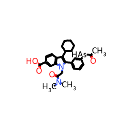 CC(=O)[AsH]c1cccc(-c2c(C3CCCCC3)c3ccc(C(=O)O)cc3n2CC(=O)N(C)C)c1